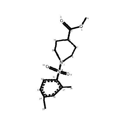 COC(=O)C1CCN(S(=O)(=O)c2ccc(C)cc2C)CC1